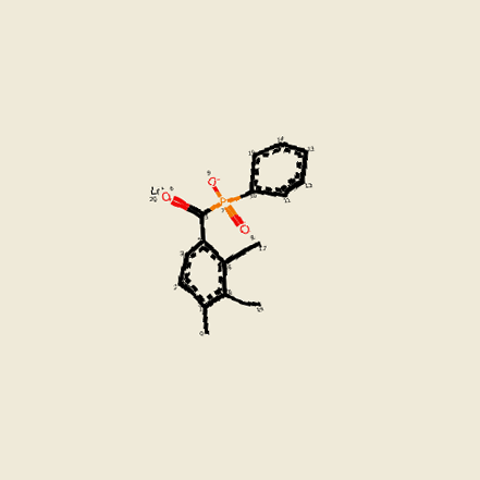 Cc1ccc(C(=O)P(=O)([O-])c2ccccc2)c(C)c1C.[Li+]